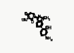 Cn1nc(N2CCC(=O)N(C(C)(C)C)C2=O)c2ccc([C@H]3CC[C@@H](N)C[C@H]3O)cc21